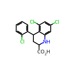 O=C(O)C1CC(c2ccccc2Cl)c2c(Cl)cc(Cl)cc2N1